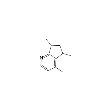 Cc1ccnc2c1C(C)CC2C